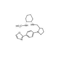 O=C(O)N[C@@H]1CCCC[C@@H]1NCC1CCCN1c1ccc(-c2ncco2)cc1